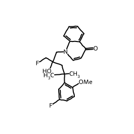 COc1ccc(F)cc1C(C)(C)CC(O)(CF)Cn1ccc(=O)c2ccccc21